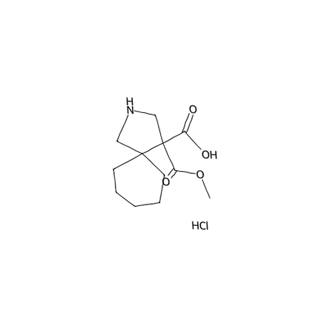 COC(=O)C1(C(=O)O)CNCC12CCCCC2.Cl